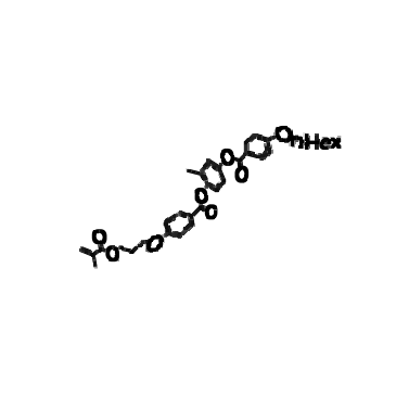 C=C(C)C(=O)OCCCOc1ccc(C(=O)Oc2ccc(OC(=O)c3ccc(OCCCCCC)cc3)cc2C)cc1